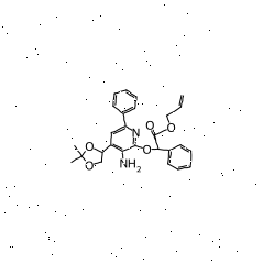 C=CCOC(=O)C(Oc1nc(-c2ccccc2)cc(C2COC(C)(C)O2)c1N)c1ccccc1